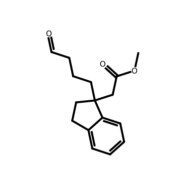 COC(=O)CC1(CCCC=O)CCc2ccccc21